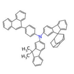 CC1(C)c2ccccc2-c2ccc(N(c3ccc(-c4cc5ccccc5c5ccccc45)cc3)c3ccc4c(c3)C3(c5ccccc5-4)C4CC5CC(C4)CC3C5)cc21